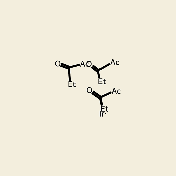 CCC(=O)C(C)=O.CCC(=O)C(C)=O.CCC(=O)C(C)=O.[Ir]